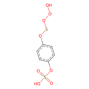 O=S(=O)(O)Oc1ccc(OSOOO)cc1